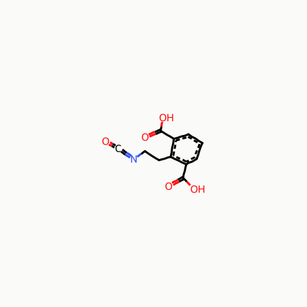 O=C=NCCc1c(C(=O)O)cccc1C(=O)O